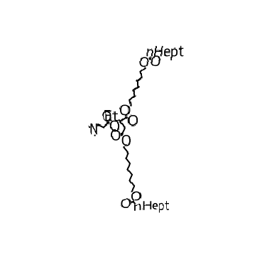 CCCCCCCC(=O)OCCCCCCCCCOC(=O)CC(CC)(OC(=O)CCN(C)C)C(=O)OCCCCCCCCCOC(=O)CCCCCCC